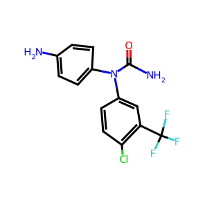 NC(=O)N(c1ccc(N)cc1)c1ccc(Cl)c(C(F)(F)F)c1